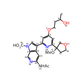 COC1(c2cc(OCCC(C)O)cc(-c3cn(C(=O)O)c4cnc(NC(C)=O)cc34)n2)CCOC1